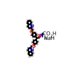 O=C(O)C=NOCC(c1ccc(OCc2ccc3ccccc3n2)cc1)c1ccc(OCc2ccc3ccccc3n2)cc1.[NaH]